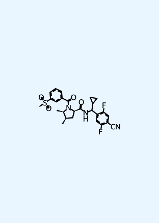 C[C@@H]1C[C@H](C(=O)NC(c2cc(F)c(C#N)cc2F)C2CC2)N(C(=O)c2cccc(S(C)(=O)=O)c2)[C@@H]1C